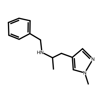 CC(Cc1cnn(C)c1)NCc1ccccc1